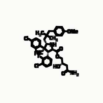 COc1ccc(CC(C)(C)C[C@@H]2N[C@@H](C(=O)OC[C@@H](O)CC(N)=O)[C@H](c3cccc(Cl)c3F)[C@@]2(C#N)c2ccc(Cl)cc2F)cc1